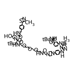 Cc1cnc(Nc2ccc(N3CCN(CC(=O)NCCOCCOCCOCC(=O)N[C@H](C(=O)N4C[C@H](O)C[C@H]4C(=O)NCc4ccc(-c5scnc5C)cc4)C(C)(C)C)CC3)cc2)nc1Nc1cccc(S(=O)(=O)NC(C)(C)C)c1